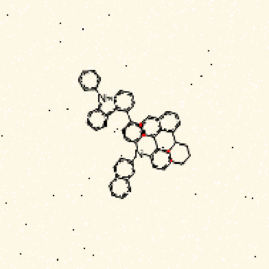 c1ccc(-n2c3ccccc3c3c(-c4ccc(N(c5ccc6ccccc6c5)c5ccccc5-c5cccc6cccc(C7CCCCC7)c56)cc4)cccc32)cc1